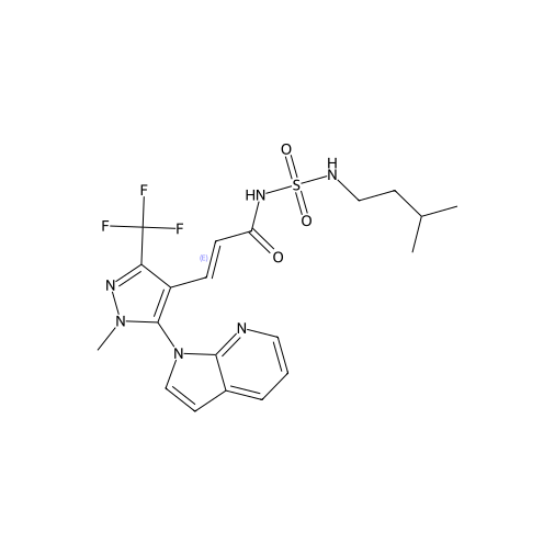 CC(C)CCNS(=O)(=O)NC(=O)/C=C/c1c(C(F)(F)F)nn(C)c1-n1ccc2cccnc21